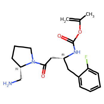 C=C(C)OC(=O)N[C@@H](CC(=O)N1CCC[C@H]1CN)Cc1ccccc1F